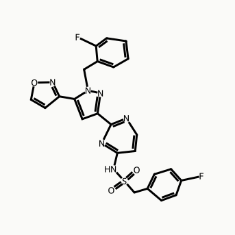 O=S(=O)(Cc1ccc(F)cc1)Nc1ccnc(-c2cc(-c3ccon3)n(Cc3ccccc3F)n2)n1